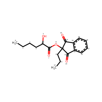 CCCCC(O)C(=O)OC1(CCC)C(=O)c2ccccc2C1=O